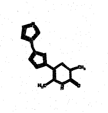 CC1=C(c2ccc(-n3ccnc3)s2)CC(C)C(=O)N1